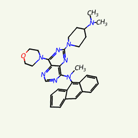 CN(c1c2ccccc2cc2ccccc12)c1ncnc2c(N3CCOCC3)nc(N3CCC(N(C)C)CC3)nc12